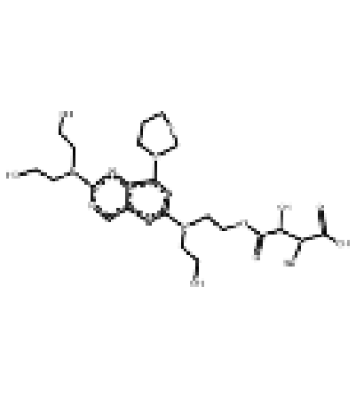 O=C(O)C(O)C(O)C(=O)OCCN(CCO)c1nc(N2CCCCC2)c2nc(N(CCO)CCO)ncc2n1